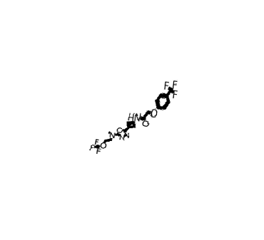 CN(CCOC(F)(F)F)c1nnc(C23CC(NC(=O)COc4ccc(C(F)(F)F)cc4)(C2)C3)o1